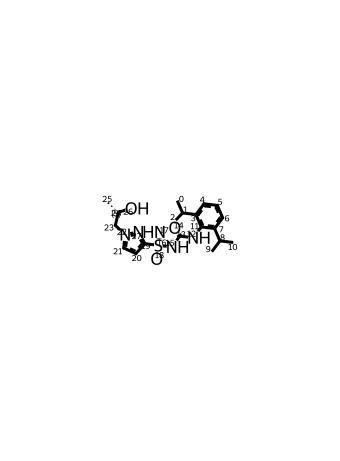 CC(C)c1cccc(C(C)C)c1NC(=O)NS(=N)(=O)c1ccn(C[C@H](C)O)n1